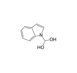 OC(O)n1ccc2ccccc21